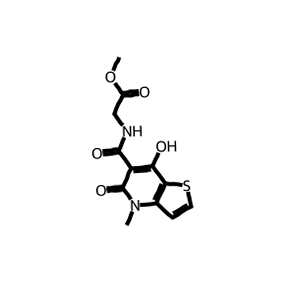 COC(=O)CNC(=O)c1c(O)c2sccc2n(C)c1=O